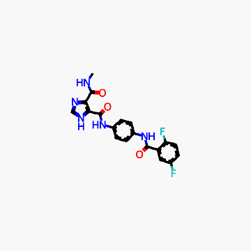 CNC(=O)c1nc[nH]c1C(=O)Nc1ccc(NC(=O)c2cc(F)ccc2F)cc1